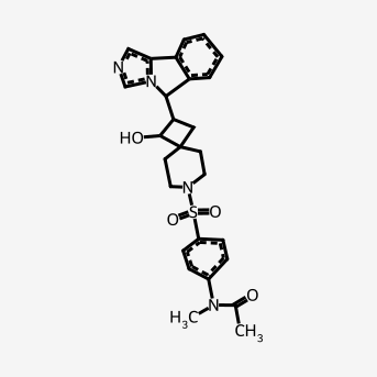 CC(=O)N(C)c1ccc(S(=O)(=O)N2CCC3(CC2)CC(C2c4ccccc4-c4cncn42)C3O)cc1